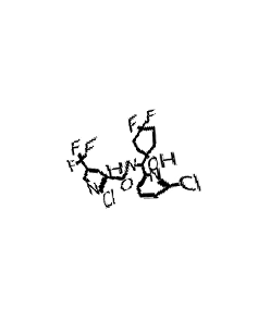 O=C(NC(c1cccc(Cl)n1)C1(O)CCC(F)(F)CC1)c1cc(C(F)(F)F)cnc1Cl